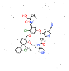 CC(=O)N[C@@]1(CCCOc2c(COc3cc(OCc4cncc(C#N)c4)cc(CNC(C)C(O)O)c3Cl)ccc(-c3ccccc3Cl)c2C)CCNC1